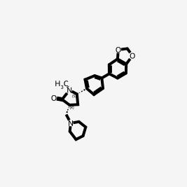 CN1C(=O)[C@@H](CN2CCCCC2)C[C@H]1c1ccc(-c2ccc3c(c2)OCO3)cc1